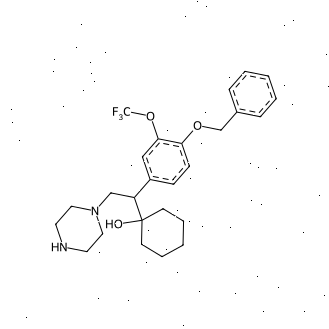 OC1(C(CN2CCNCC2)c2ccc(OCc3ccccc3)c(OC(F)(F)F)c2)CCCCC1